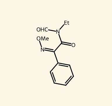 CCN(C=O)C(=O)C(=NOC)c1ccccc1